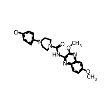 COc1ccc2nc(NC(=O)N3CCN(c4ccc(Cl)cc4)CC3)c(OC)nc2c1